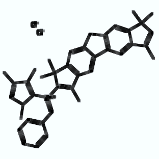 CC1=CC(C)[C]([Zr+2](=[CH]c2ccccc2)[C]2=C(C)c3cc4c(cc3C2(C)C)Cc2cc3c(cc2-4)C(C)=CC3(C)C)=C1C.[Cl-].[Cl-]